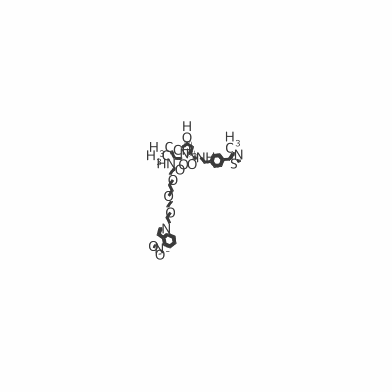 Cc1ncsc1-c1ccc(CNC(=O)[C@@H]2C[C@@H](O)CN2C(=O)C(NC(=O)COCCOCCOCCn2ccc3c([N+](=O)[O-])cccc32)C(C)(C)C)cc1